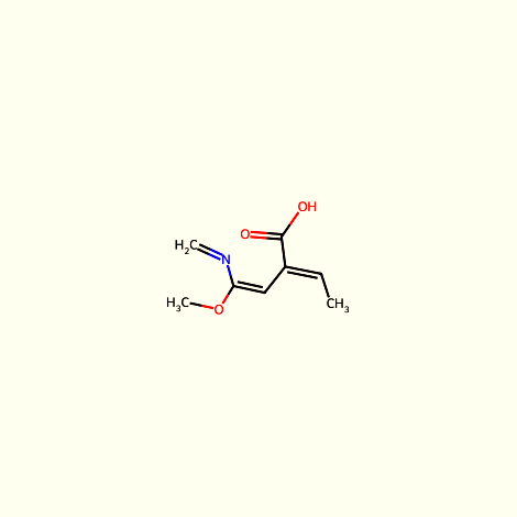 C=N/C(=C\C(=C/C)C(=O)O)OC